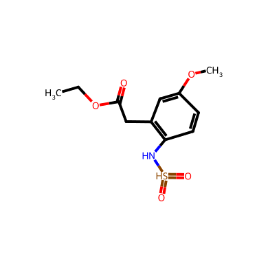 CCOC(=O)Cc1cc(OC)ccc1N[SH](=O)=O